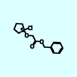 O=C(CO[Si]1(Cl)CCCC1)OCc1ccccc1